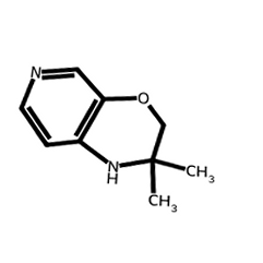 CC1(C)COc2cnccc2N1